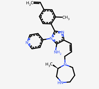 C=Cc1ccc(-c2nc(/C=C\CN3CCCNC[C@H]3C)c(N)n2-c2ccncc2)c(C)c1